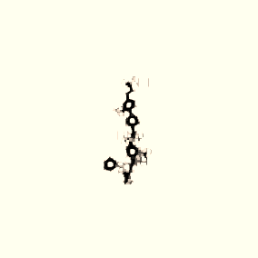 CNC(=O)CCc1ccc(-c2ccc(C(=O)NS(=O)(=O)c3ccc(N[C@@H](CSc4ccccc4)CC(=O)N(C)C)c([N+](=O)[O-])c3)cc2)c(OC)c1